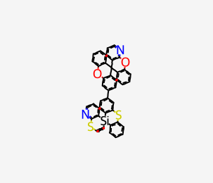 c1ccc2c(c1)Oc1cc(-c3ccc4c(c3)Sc3ccccc3[Si]43c4ccccc4Sc4ncccc43)ccc1C21c2ccccc2Oc2ncccc21